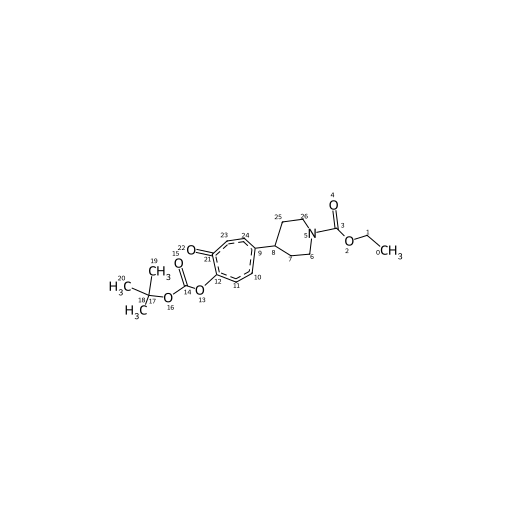 CCOC(=O)N1CCC(c2ccc(OC(=O)OC(C)(C)C)c(=O)cc2)CC1